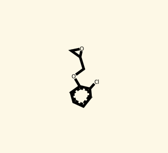 Clc1[c]cc[c]c1OCC1CO1